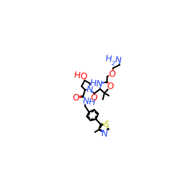 Cc1ncsc1-c1ccc(CNC(=O)C2CC(O)CN2C(=O)[C@@H](NC(=O)COCCN)C(C)(C)C)cc1